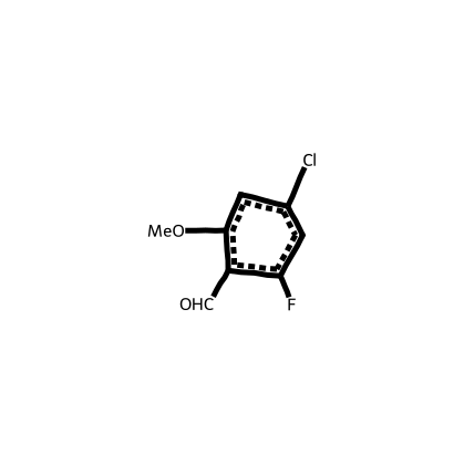 COc1cc(Cl)cc(F)c1C=O